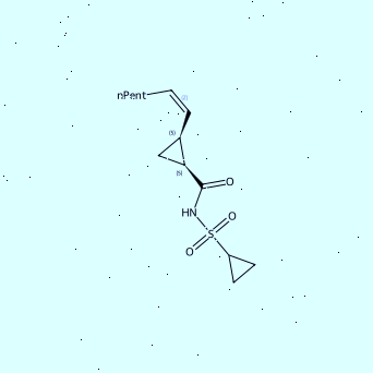 CCCCC/C=C\[C@@H]1C[C@@H]1C(=O)NS(=O)(=O)C1CC1